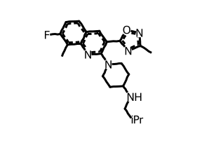 Cc1noc(-c2cc3ccc(F)c(C)c3nc2N2CCC(NCC(C)C)CC2)n1